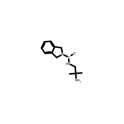 CC(C)(N)CN[S+]([O-])N1Cc2ccccc2C1